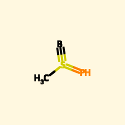 B#S(C)=P